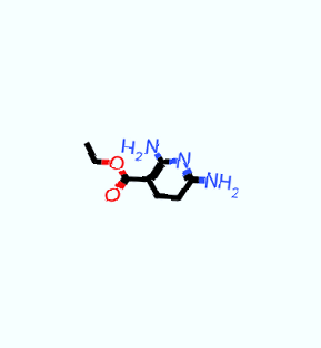 CCOC(=O)C1=C(N)N=C(N)CC1